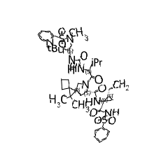 C=C[C@@H]1C[C@]1(NC(=O)[C@@H]1C[C@@]2(CN1C(=O)[C@@H](NC(=O)N[C@H](CN(C)S(=O)(=O)c1ccccn1)C(C)(C)C)C(C)C)C(C)(C)C21CCC1)C(=O)NS(=O)(=O)c1ccccc1